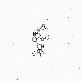 Cc1nc2ncc(-c3ccn4nc(Nc5cnn(C)c5)nc(OC5CCCC5)c34)cc2n1C1CC1